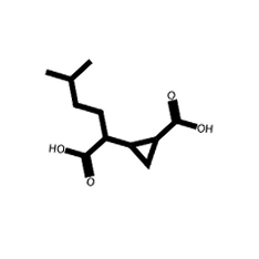 CC(C)CCC(C(=O)O)C1CC1C(=O)O